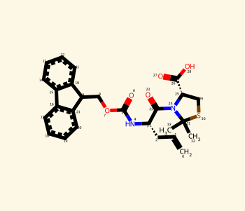 C=CC[C@H](NC(=O)OCC1c2ccccc2-c2ccccc21)C(=O)N1[C@H](C(=O)O)CSC1(C)C